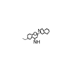 CCc1ccc2oc(-c3cc4ccccc4cn3)cc(=N)c2c1